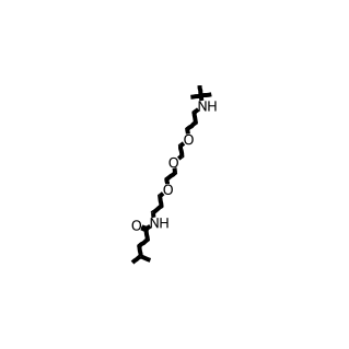 CC(C)CCC(=O)NCCCOCCOCCOCCCNC(C)(C)C